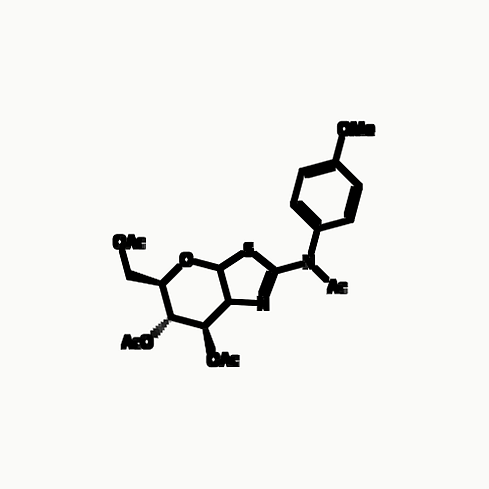 COc1ccc(N(C(C)=O)C2=NC3C(O[C@H](COC(C)=O)[C@@H](OC(C)=O)[C@@H]3OC(C)=O)S2)cc1